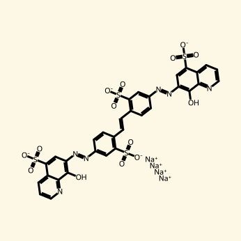 O=S(=O)([O-])c1cc(N=Nc2cc(S(=O)(=O)[O-])c3cccnc3c2O)ccc1C=Cc1ccc(N=Nc2cc(S(=O)(=O)[O-])c3cccnc3c2O)cc1S(=O)(=O)[O-].[Na+].[Na+].[Na+].[Na+]